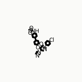 CS(=O)(=O)Nc1ccc(-c2ccc(Oc3c(-n4ccnc4)cnn(-c4ccc(Cl)cc4)c3=O)cc2)cc1